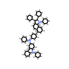 c1ccc(-c2c(-c3ccccc3)n(-c3ccccc3)c3c2ccc2c(-c4ccc(N(c5ccccc5)c5ccc6c(c5)c5ccccc5n6-c5ccccc5)cc4)cccc23)cc1